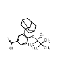 CC(C)(C)[Si](C)(C)Oc1ccc(C(=O)Cl)cc1C12CC3CC(CC(C3)C1)C2